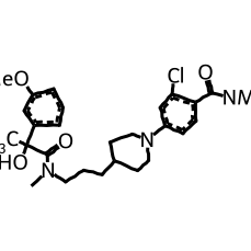 CNC(=O)c1ccc(N2CCC(CCCN(C)C(=O)C(O)(c3cccc(OC)c3)C(F)(F)F)CC2)cc1Cl